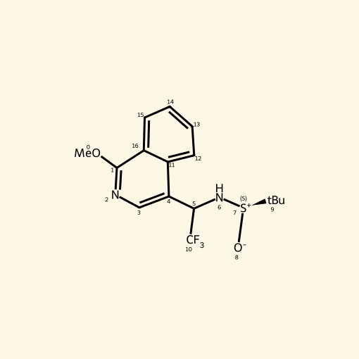 COc1ncc(C(N[S@+]([O-])C(C)(C)C)C(F)(F)F)c2ccccc12